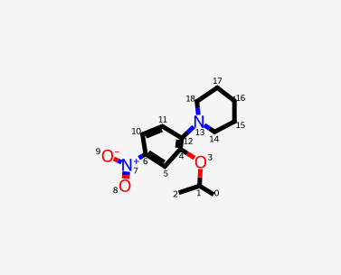 CC(C)Oc1cc([N+](=O)[O-])ccc1N1CC[CH]CC1